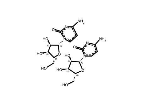 Nc1ccn([C@@H]2O[C@H](CO)[C@@H](O)[C@H]2O)c(=O)n1.Nc1ccn([C@@H]2O[C@H](CO)[C@@H](O)[C@H]2O)c(=O)n1